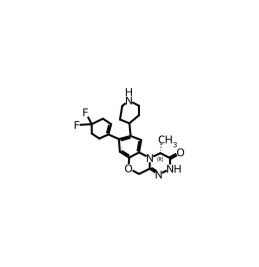 C[C@@H]1C(=O)NN=C2COc3cc(C4=CCC(F)(F)CC4)c(C4CCNCC4)cc3N21